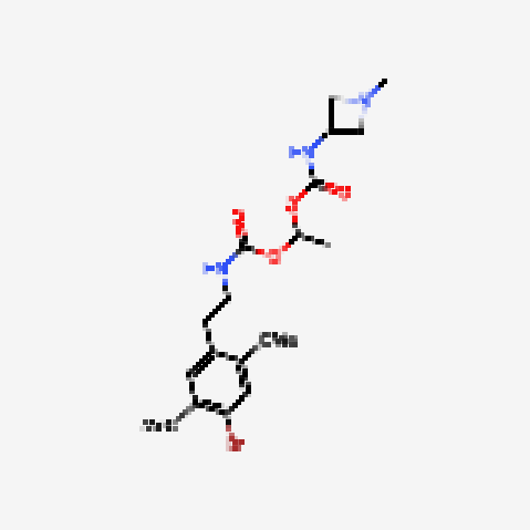 COc1cc(CCNC(=O)OC(C)OC(=O)NC2CN(C)C2)c(OC)cc1Br